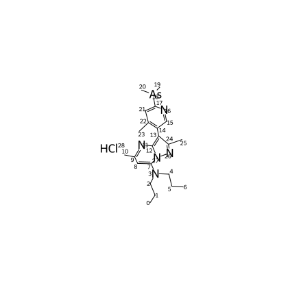 CCCN(CCC)c1cc(C)nc2c(-c3cnc([As](C)C)cc3C)c(C)nn12.Cl